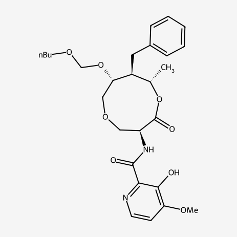 CCCCOCO[C@H]1COC[C@H](NC(=O)c2nccc(OC)c2O)C(=O)O[C@@H](C)[C@@H]1Cc1ccccc1